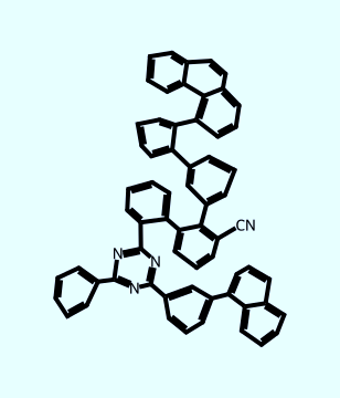 N#Cc1cccc(-c2ccccc2-c2nc(-c3ccccc3)nc(-c3cccc(-c4cccc5ccccc45)c3)n2)c1-c1cccc(-c2ccccc2-c2cccc3ccc4ccccc4c23)c1